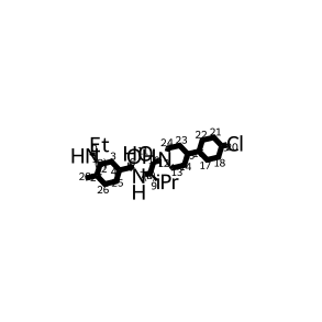 CCN[C@@H]1CC(C(O)N[C@H](C(C)C)C(O)N2CCC(C3CCC(Cl)CC3)CC2)CCC1C